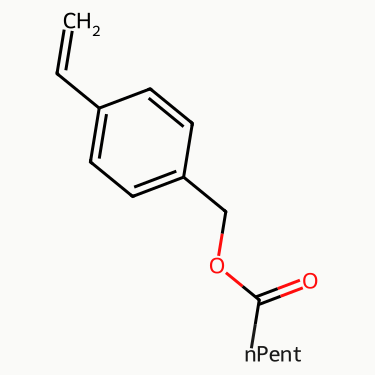 C=Cc1ccc(COC(=O)CCCCC)cc1